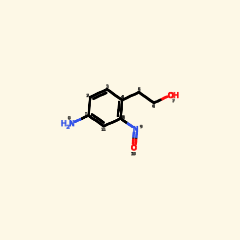 Nc1ccc(CCO)c(N=O)c1